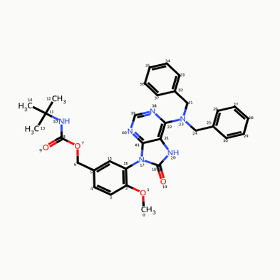 COc1ccc(COC(=O)NC(C)(C)C)cc1-n1c(=O)[nH]c2c(N(Cc3ccccc3)Cc3ccccc3)ncnc21